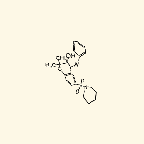 CC1(C)Oc2ccc(S(=O)(=O)N3CCCCC3)cc2C([N]c2ccccc2)C1O